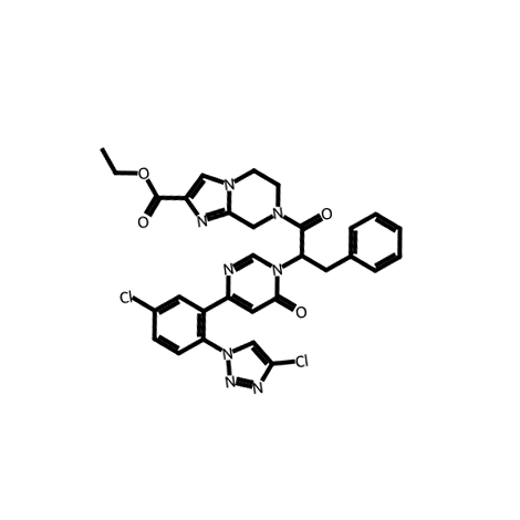 CCOC(=O)c1cn2c(n1)CN(C(=O)C(Cc1ccccc1)n1cnc(-c3cc(Cl)ccc3-n3cc(Cl)nn3)cc1=O)CC2